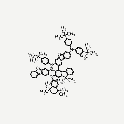 CC(C)(C)c1ccc(N2B3c4cc5oc6ccccc6c5cc4-n4c5cc6c(cc5c5c7c(c(c3c54)-c3cc4c(cc32)oc2cc(N(c3ccc(C(C)(C)C)cc3)c3ccc(C(C)(C)C)cc3)ccc24)-c2ccccc2C7(C)C)C(C)(C)CCC6(C)C)cc1